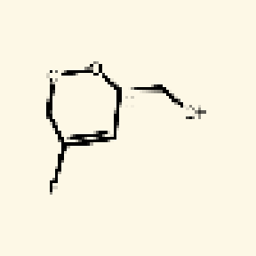 OC[C@H]1C=C(F)COO1